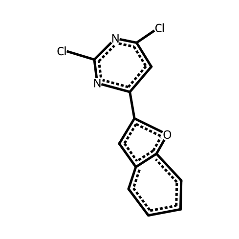 Clc1cc(-c2cc3ccccc3o2)nc(Cl)n1